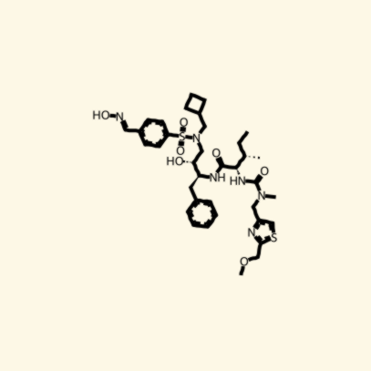 CC[C@H](C)[C@H](NC(=O)N(C)Cc1csc(COC)n1)C(=O)N[C@@H](Cc1ccccc1)[C@H](O)CN(CC1CCC1)S(=O)(=O)c1ccc(/C=N/O)cc1